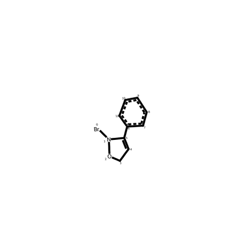 BrN1OC[C]=C1c1ccccc1